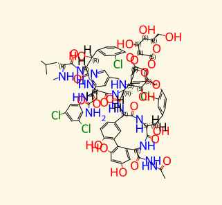 CN[C@H](CC(C)C)C(=O)N[C@H]1C(=O)N[C@@H](CC(N)=O)C(=O)N[C@H]2C(=O)N[C@H]3C(=O)N[C@H](C(=O)N[C@@H](C(=O)NNC(C)=O)c4cc(O)cc(O)c4-c4cc3ccc4O)[C@H](O)c3ccc(c(Cl)c3)Oc3cc2cc(c3O[C@@H]2O[C@H](CO)[C@@H](O)[C@H](O)[C@H]2O[C@H]2C[C@](C)(NCc3cncc(C(=O)Nc4cc(Cl)cc(Cl)c4)c3)[C@H](O)[C@H](C)O2)Oc2ccc(cc2Cl)[C@H]1O